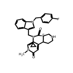 Cn1ccc(C2CCNC[C@@H]2C(=O)N(Cc2cn(Cc3ccc(F)cc3)c3ccccc23)C2CC2)cc1=O